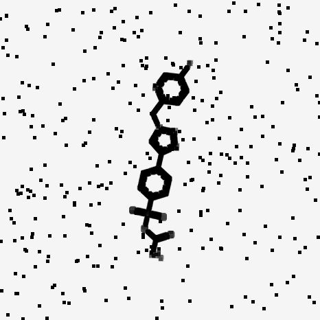 NC(=O)OS(=O)(=O)c1ccc(-c2cn(Cc3ccc(F)cn3)nn2)cc1